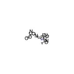 FC(F)(F)c1ncccc1-c1noc(C2CC2)c1/C=C/C1CC2(C1)CN(c1ccc3nccc(OC4COC4)c3c1)C2